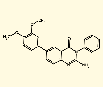 COc1cc(-c2ccc3nc(N)n(-c4ccccc4)c(=O)c3c2)cnc1OC